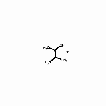 C[C@@H](N)[C@@H](C)O.[H+]